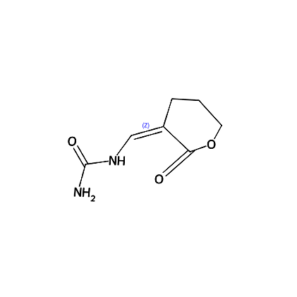 NC(=O)N/C=C1/CCCOC1=O